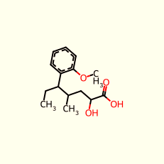 CCC(c1ccccc1OC)C(C)CC(O)C(=O)O